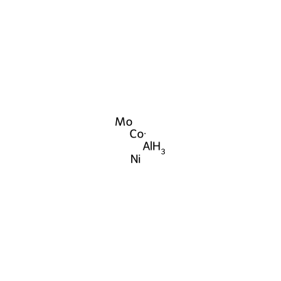 [AlH3].[Co].[Mo].[Ni]